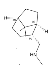 CNC[C@@H]1CC[C@H]2CC[C@@H]1C2(C)C